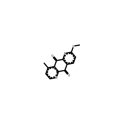 COc1ccc2c(n1)C(=O)c1c(C)ccnc1C2=O